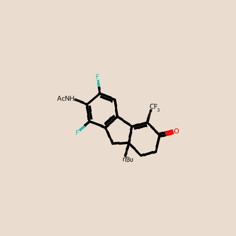 CCCCC12CCC(=O)C(C(F)(F)F)=C1c1cc(F)c(NC(C)=O)c(F)c1C2